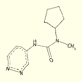 CN(C(=O)Nc1ccnnc1)C1CCCC1